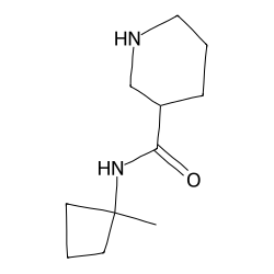 CC1(NC(=O)C2CCCNC2)CCC1